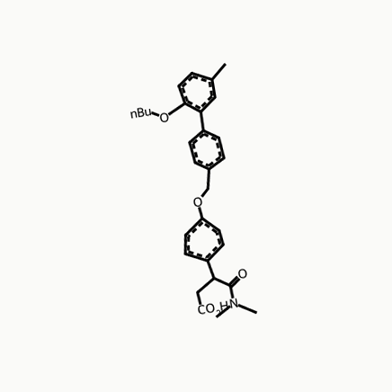 CCCCOc1ccc(C)cc1-c1ccc(COc2ccc(C(CC(=O)O)C(=O)N(C)C)cc2)cc1